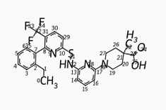 CCc1ccccc1-c1nc(SNc2cccc(N3CCC(C)(C(=O)O)CC3)n2)ccc1C(F)(F)F